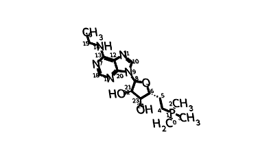 C=P(C)(C)CC[C@H]1OC(n2cnc3c(NCC)ncnc32)[C@H](O)[C@@H]1O